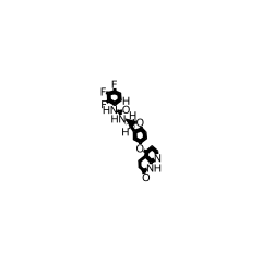 O=C1CCc2c(Oc3ccc4c(c3)[C@H]3[C@H](NC(O)Nc5ccc(F)c(F)c5F)[C@H]3O4)ccnc2N1